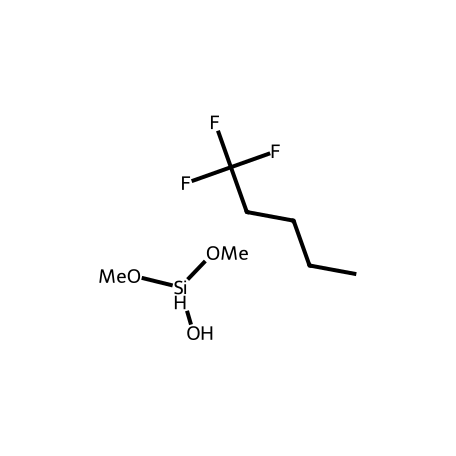 CCCCC(F)(F)F.CO[SiH](O)OC